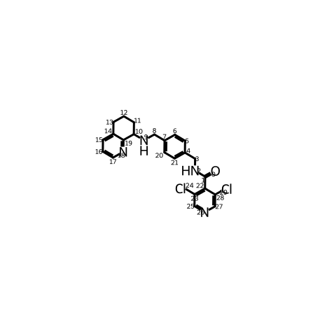 O=C(NCc1ccc(CNC2CCCc3cccnc32)cc1)c1c(Cl)cncc1Cl